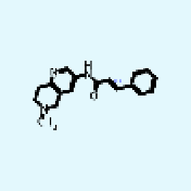 CN1CCc2ncc(NC(=O)/C=C/c3ccccc3)cc2C1